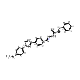 FC(F)(F)Oc1ccc(-n2cnc(-c3ccc(/C=N/NC(=S)NCc4ccccc4)cc3)n2)cc1